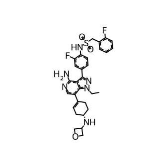 CCn1nc(-c2ccc(NS(=O)(=O)Cc3ccccc3F)c(F)c2)c2c(N)ncc(C3=CC[C@@H](NC4COC4)CC3)c21